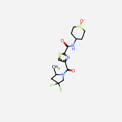 CC1CC(F)(F)CN1C(=O)c1csc(C(=O)NC2CC[S+]([O-])CC2)n1